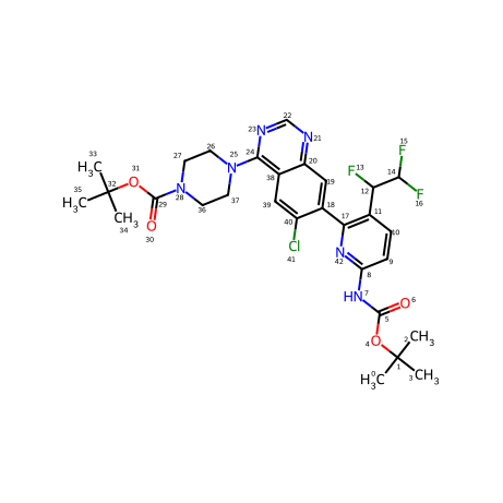 CC(C)(C)OC(=O)Nc1ccc(C(F)C(F)F)c(-c2cc3ncnc(N4CCN(C(=O)OC(C)(C)C)CC4)c3cc2Cl)n1